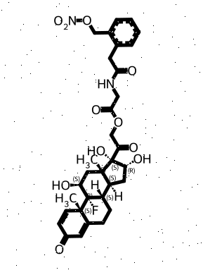 C[C@]12C=CC(=O)C=C1CC[C@H]1[C@@H]3C[C@@H](O)[C@](O)(C(=O)COC(=O)CNC(=O)Cc4ccccc4CO[N+](=O)[O-])[C@@]3(C)C[C@H](O)[C@@]12F